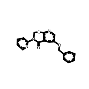 O=C1c2cc(OCc3ccccc3)cnc2CCN1c1ccccn1